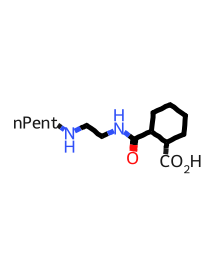 CCCCCNCCNC(=O)C1CCCCC1C(=O)O